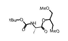 COCC(COC)OC(=O)[C@H](C)NC(=O)OC(C)(C)C